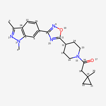 Cc1nn(C)c2cc(-c3noc(C4CCN(C(=O)CC5(C)CC5)CC4)n3)ccc12